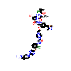 Cc1ncsc1-c1ccc(CNC(=O)[C@@H]2C[C@@H](O)CN2C(=O)[C@@H](NC(=O)C2(F)CC2)C(C)(C)C)c(OCCN2CCN(C(=O)CNc3cccc(Sc4cnc(N5CCC(C)(CN)CC5)cn4)c3Cl)CC2)c1